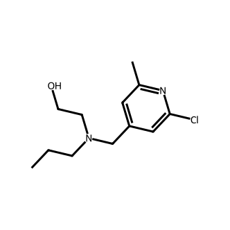 CCCN(CCO)Cc1cc(C)nc(Cl)c1